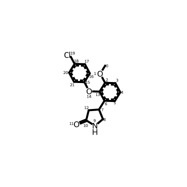 COc1cccc(C2CNC(=O)C2)c1Oc1ccc(Cl)cc1